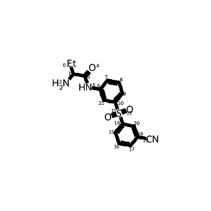 CCC(N)C(=O)Nc1cccc(S(=O)(=O)c2cccc(C#N)c2)c1